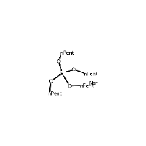 CCCCCO[B-](OCCCCC)(OCCCCC)OCCCCC.[Na+]